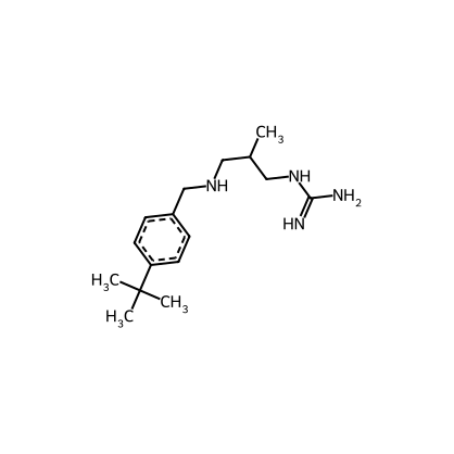 CC(CNCc1ccc(C(C)(C)C)cc1)CNC(=N)N